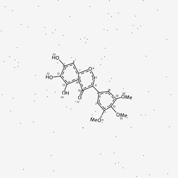 COc1cc(-c2coc3cc(O)c(O)c(O)c3c2=O)cc(OC)c1OC